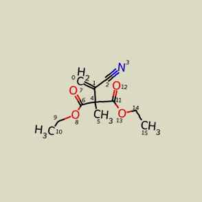 C=C(C#N)C(C)(C(=O)OCC)C(=O)OCC